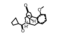 COc1cccc2c1[C@]13CCN(C(=O)C4CCC4)[C@H](C2)[C@@H]1CCC(=O)C3